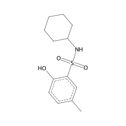 Cc1ccc(O)c(S(=O)(=O)NC2CCCCC2)c1